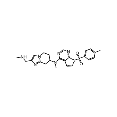 CNCc1cn2c(n1)CC(N(C)c1ncnc3c1ccn3S(=O)(=O)c1ccc(C)cc1)CC2